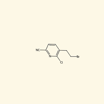 N#Cc1ccc(CCBr)c(Cl)n1